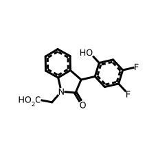 O=C(O)CN1C(=O)C(c2cc(F)c(F)cc2O)c2ccccc21